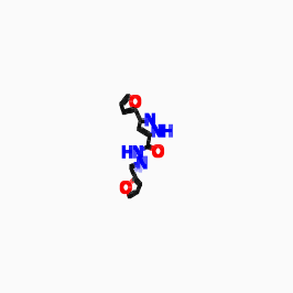 O=C(N/N=C/c1ccco1)c1cc(-c2ccco2)n[nH]1